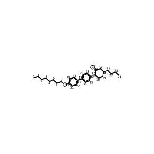 CCCCCCCCOc1ccc(-c2ccc([C@H]3CC[C@H](CCCC)CC3=O)cc2)cc1